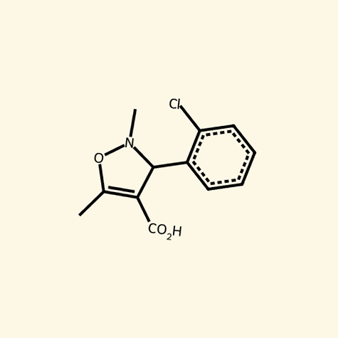 CC1=C(C(=O)O)C(c2ccccc2Cl)N(C)O1